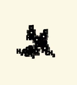 Cc1ccc(S(=O)(=O)n2c3ccc(Cl)cc3c3cc(Nc4ccc(Cl)cc4)cc(OCC4CCCN4C(=O)OC(C)(C)C)c32)cc1